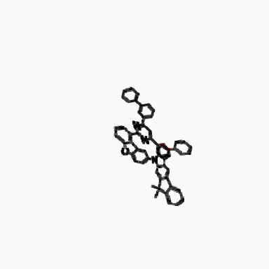 CC1(C)c2ccccc2-c2cc3c4ccccc4n(-c4ccc5oc6cccc(-c7nc(-c8cccc(-c9ccccc9)c8)cc(-c8cccc(-c9ccccc9)c8)n7)c6c5c4)c3cc21